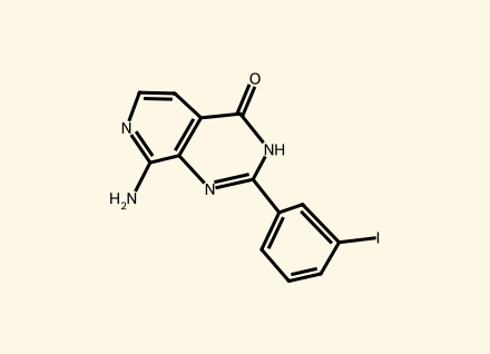 Nc1nccc2c(=O)[nH]c(-c3cccc(I)c3)nc12